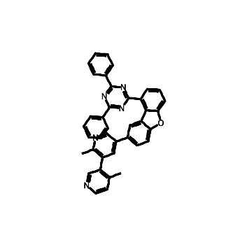 Cc1ccncc1-c1cc(-c2ccc3oc4cccc(-c5nc(-c6ccccc6)nc(-c6ccccc6)n5)c4c3c2)cnc1C